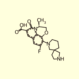 C[C@H]1COc2c(N3CCCC4(CCNC4)C3)c(F)cc3cc(C(=O)O)c(=O)n1c23